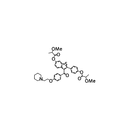 COC(C)C(=O)Oc1ccc(-c2sc3cc(OC(=O)C(C)OC)ccc3c2C(=O)c2ccc(OCCN3CCCCC3)cc2)cc1